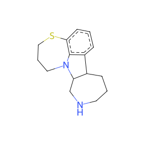 c1cc2c3c(c1)C1CCCNCC1N3CCCS2